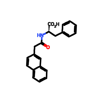 O=C(Cc1ccc2ccccc2c1)N[C@@H](Cc1ccccc1)C(=O)O